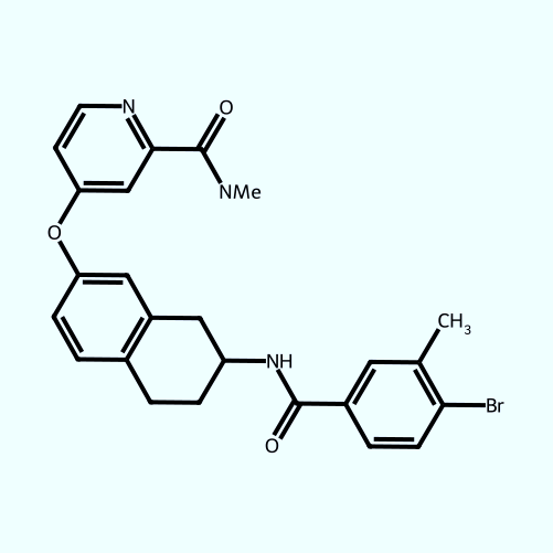 CNC(=O)c1cc(Oc2ccc3c(c2)CC(NC(=O)c2ccc(Br)c(C)c2)CC3)ccn1